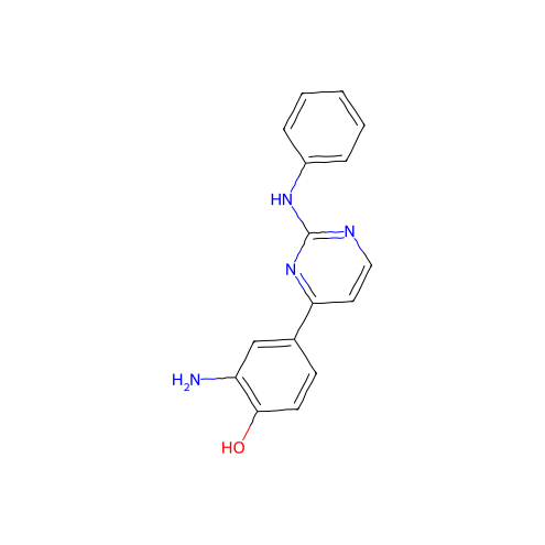 Nc1cc(-c2ccnc(Nc3ccccc3)n2)ccc1O